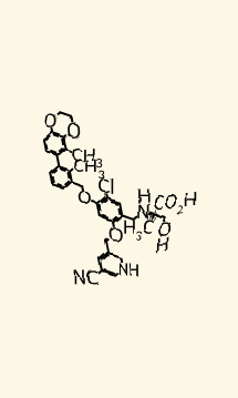 Cc1c(COc2cc(OCC3=CC(C#N)=CNC3)c(CN[C@](C)(CO)C(=O)O)cc2Cl)cccc1-c1ccc2c(c1C)OCCO2